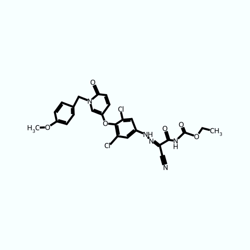 CCOC(=O)NC(=O)C(C#N)=NNc1cc(Cl)c(Oc2ccc(=O)n(Cc3ccc(OC)cc3)c2)c(Cl)c1